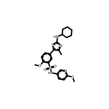 COc1ccc(NS(=O)(=O)c2cc(-c3sc(NC4CCCCC4)nc3C)ccc2OC)cn1